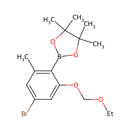 CCOCOc1cc(Br)cc(C)c1B1OC(C)(C)C(C)(C)O1